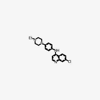 CCN1CCN(c2ccc(Nc3ccnc4cc(Cl)ccc34)cc2)CC1